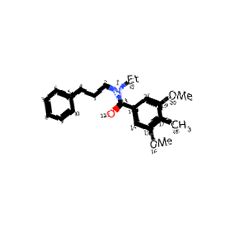 [CH2]CN(CCCc1ccccc1)C(=O)c1cc(OC)c(C)c(OC)c1